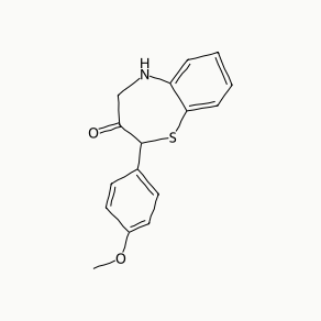 COc1ccc(C2Sc3ccccc3NCC2=O)cc1